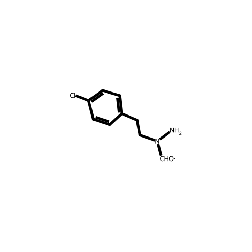 NN([C]=O)CCc1ccc(Cl)cc1